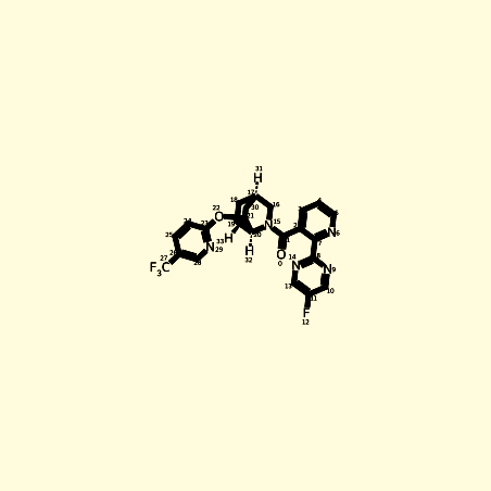 O=C(c1cccnc1-c1ncc(F)cn1)N1C[C@@H]2CC[C@H]1[C@H](Oc1ccc(C(F)(F)F)cn1)C2